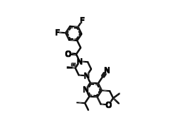 CC(C)c1nc(N2CCN(C(=O)Cc3cc(F)cc(F)c3)[C@H](C)C2)c(C#N)c2c1COC(C)(C)C2